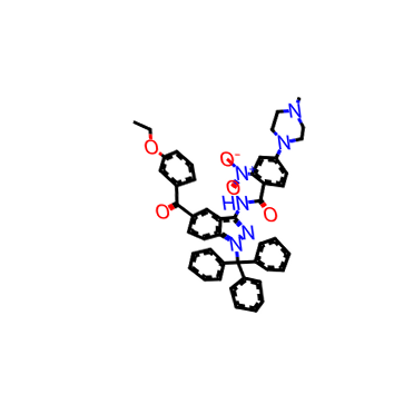 CCOc1cccc(C(=O)c2ccc3c(c2)c(NC(=O)c2ccc(N4CCN(C)CC4)cc2[N+](=O)[O-])nn3C(c2ccccc2)(c2ccccc2)c2ccccc2)c1